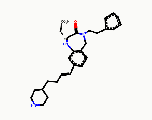 O=C(O)C[C@H]1Nc2cc(C=CCCC3CCNCC3)ccc2CN(CCc2ccccc2)C1=O